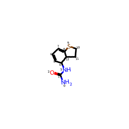 NC(=O)NC1C=CC=C2SCCC21